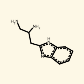 NCC(N)Cc1nc2ccccc2[nH]1